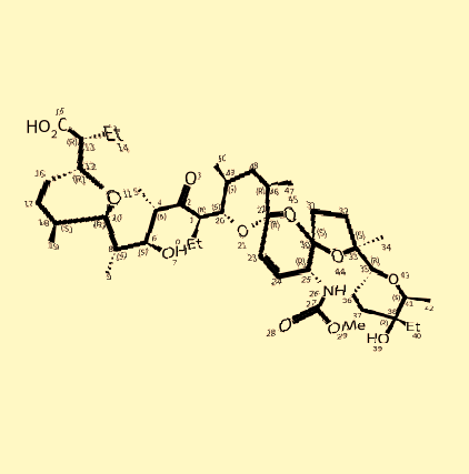 CC[C@@H](C(=O)[C@@H](C)[C@@H](O)[C@H](C)[C@@H]1O[C@@H]([C@@H](CC)C(=O)O)CC[C@@H]1C)[C@H]1O[C@]2(C=C[C@@H](NC(=O)OC)[C@]3(CC[C@@](C)([C@H]4CC[C@](O)(CC)[C@H](C)O4)O3)O2)[C@H](C)C[C@@H]1C